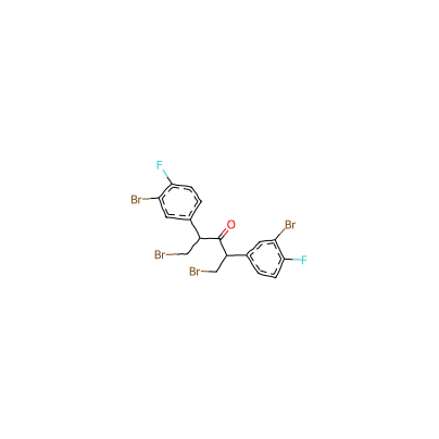 O=C(C(CBr)c1ccc(F)c(Br)c1)C(CBr)c1ccc(F)c(Br)c1